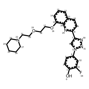 Oc1ccc(-n2cc(-c3ccc4cccc(OCCOCCN5CCCCC5)c4n3)nn2)cc1F